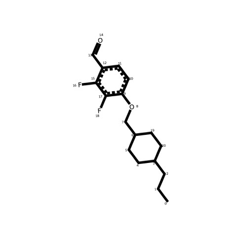 CCCC1CCC(COc2ccc(C=O)c(F)c2F)CC1